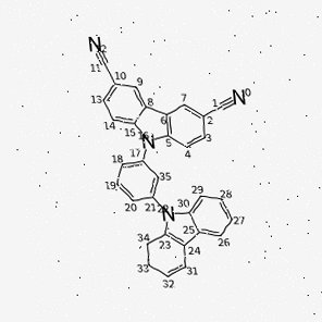 N#Cc1ccc2c(c1)c1cc(C#N)ccc1n2-c1cccc(-n2c3c(c4ccccc42)C=CCC3)c1